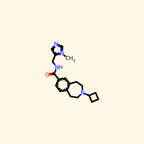 Cn1cncc1CNC(=O)c1ccc2c(c1)CCN(C1CCC1)CC2